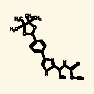 CC(C)(C)OC(=O)NC(c1nc(-c2ccc(B3OC(C)(C)C(C)(C)O3)cc2)c[nH]1)C(C)(C)C